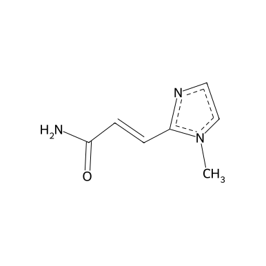 Cn1ccnc1/C=C/C(N)=O